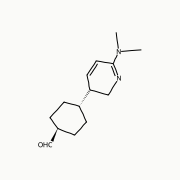 CN(C)C1=NCC([C@H]2CC[C@H](C=O)CC2)C=C1